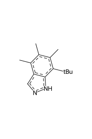 Cc1c(C)c(C(C)(C)C)c2[nH]ncc2c1C